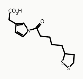 O=C(O)Cc1ccn(C(=O)CCCCC2CCSS2)c1